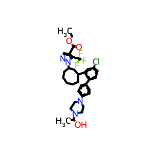 CCOC(=O)c1cnn(C2CCCCCC(c3cc(Cl)ccc3-c3ccc(N4CCN(C(C)O)CC4)cc3)C2)c1C(F)(F)F